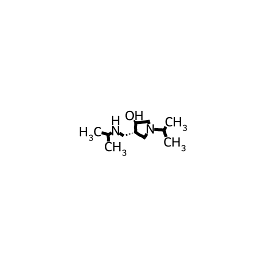 CC(C)NC[C@H]1CN(C(C)C)C[C@H]1O